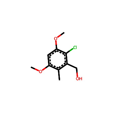 COc1cc(OC)c(Cl)c(CO)c1C